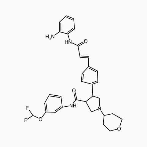 Nc1ccccc1NC(=O)/C=C/c1ccc(C2CN(C3CCOCC3)CC2C(=O)Nc2cccc(OC(F)F)c2)cc1